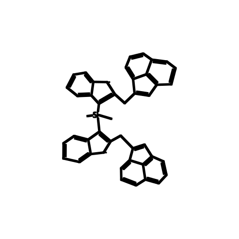 C[Si](C)(C1=C(CC2=Cc3cccc4cccc2c34)[CH]c2ccccc21)C1=C(CC2=Cc3cccc4cccc2c34)[CH]c2ccccc21